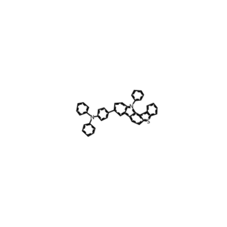 c1ccc(N(c2ccccc2)c2ccc(-c3ccc4c(c3)c3ccc5sc6ccccc6c5c3n4-c3ccccc3)cc2)cc1